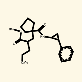 COCCC(CC1(C(=O)NC2CC2c2ccccc2)CCCC1)C(=O)OC(C)(C)C